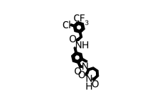 O=C(Cc1ccc(C(F)(F)F)c(Cl)c1)NCc1ccc2c(c1)CN([C@H]1CCCC(=O)NC1=O)C2=O